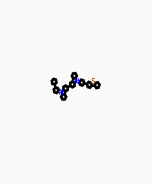 c1ccc(-c2cccc(-n3c4ccccc4c4cc(-c5ccc6c(c5)c5ccccc5n6-c5ccc(-c6ccc7c(c6)sc6ccccc67)cc5)ccc43)c2)cc1